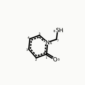 O=c1ccccn1CS